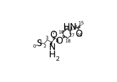 CSCCC(N)C(=O)Oc1ccc(NC(C)=O)cc1